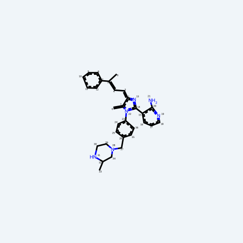 C=c1/c(=C\C=C(/C)c2ccccc2)nc(-c2cccnc2N)n1-c1ccc(CN2CCNC(C)C2)cc1